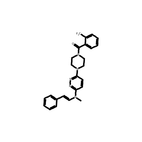 CN(C=Cc1ccccc1)c1ccc(N2CCN(C(=O)c3ccccc3C(F)(F)F)CC2)nn1